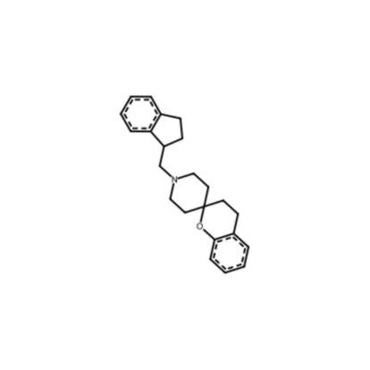 c1ccc2c(c1)CCC1(CCN(CC3CCc4ccccc43)CC1)O2